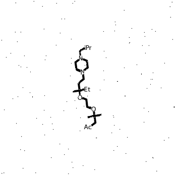 CCC(C)(CCN1CCN(CC(C)C)CC1)OCCOC(C)(C)CC(C)=O